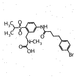 CC(C)S(=O)(=O)c1ccc(NC(=O)CCCc2ccc(Br)cc2)cc1CN(C)C(=O)O